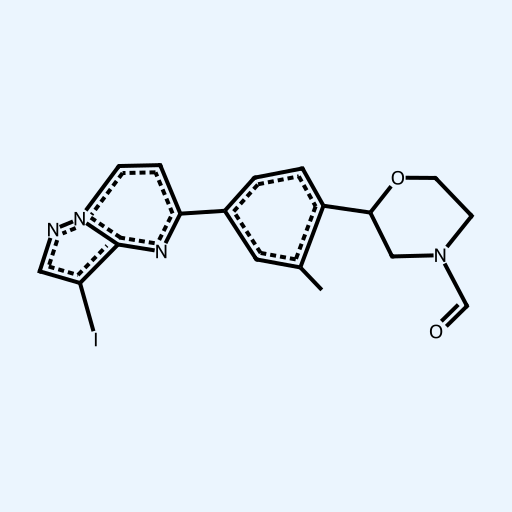 Cc1cc(-c2ccn3ncc(I)c3n2)ccc1C1CN(C=O)CCO1